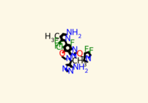 Cc1cc(N)nc(-c2c(Cl)c3c4c(nc(OC[C@]56CCN5CC(F)(F)C6)nc4c2F)N([C@H](C)c2cncnc2N)CCO3)c1C(F)(F)F